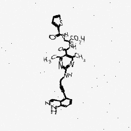 Cc1nc(NCC#Cc2cccc3[nH]ncc23)nc(C)c1C(=O)N[C@@H](CNC(=O)c1cccs1)C(=O)O